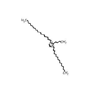 CCCCCCCCCCCCCCCCCCN1C=CN(CCCCCCCCCCCCCCCC)C1CCCC